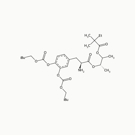 CCC(C)COC(=O)Oc1ccc(C[C@H](N)C(=O)O[C@@H](C)C(C)OC(=O)C(C)(C)CC)cc1OC(=O)OCC(C)CC